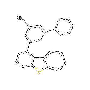 CC(C)(C)c1cc(-c2ccccc2)cc(-c2cccc3sc4ccccc4c23)c1